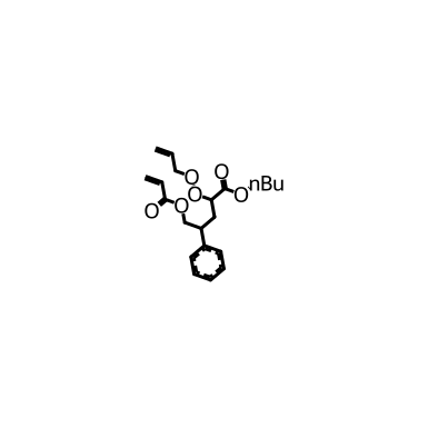 C=CCOOC(CC(COC(=O)C=C)c1ccccc1)C(=O)OCCCC